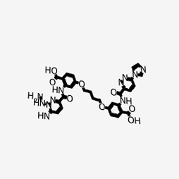 N=c1ccc(C(=O)Nc2cc(OCCCCOc3ccc(C(=O)O)c(NC(=O)c4ccc(-n5ccnc5)nn4)c3)ccc2C(=O)O)nn1NN